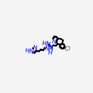 N=C(NCCCCc1c[nH]cn1)NCCC1c2ccc(Cl)cc2CCc2cccnc21